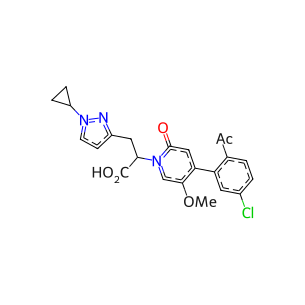 COc1cn(C(Cc2ccn(C3CC3)n2)C(=O)O)c(=O)cc1-c1cc(Cl)ccc1C(C)=O